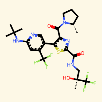 C[C@H]1CCCN1C(=O)c1nc(C(=O)NC[C@](C)(O)C(F)(F)F)sc1-c1cnc(NC(C)(C)C)cc1C(F)(F)F